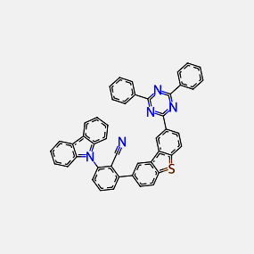 N#Cc1c(-c2ccc3sc4ccc(-c5nc(-c6ccccc6)nc(-c6ccccc6)n5)cc4c3c2)cccc1-n1c2ccccc2c2ccccc21